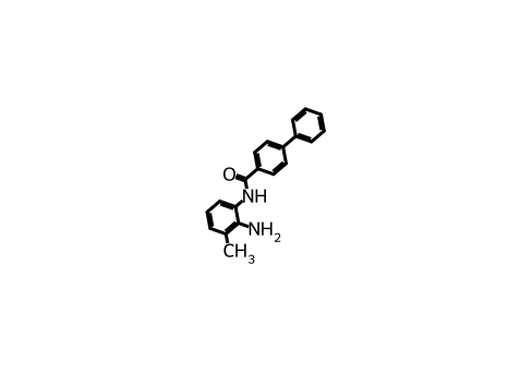 Cc1cccc(NC(=O)c2ccc(-c3ccccc3)cc2)c1N